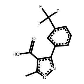 Cc1onc(-c2cccc(C(F)(F)F)c2)c1C(=O)O